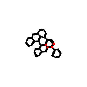 c1ccc(-c2ccc(-c3cccc4cc5ccccc5c(-c5c6ccccc6cc6ccccc56)c34)cc2)cc1